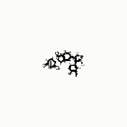 Cc1ccc(-c2c(-c3ccc4c(c3)CN(C3CCC(=O)NC3=O)C4=O)cnn2C)cc1F